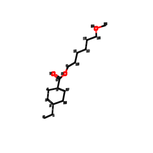 CCC1CCC(C(=O)OCCCCCCOC)CC1